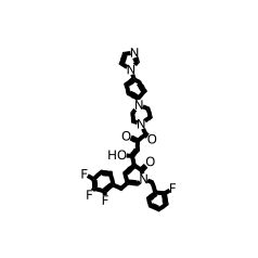 O=C(C=C(O)c1cc(Cc2ccc(F)c(F)c2F)cn(Cc2ccccc2F)c1=O)C(=O)N1CCN(c2ccc(-n3ccnc3)cc2)CC1